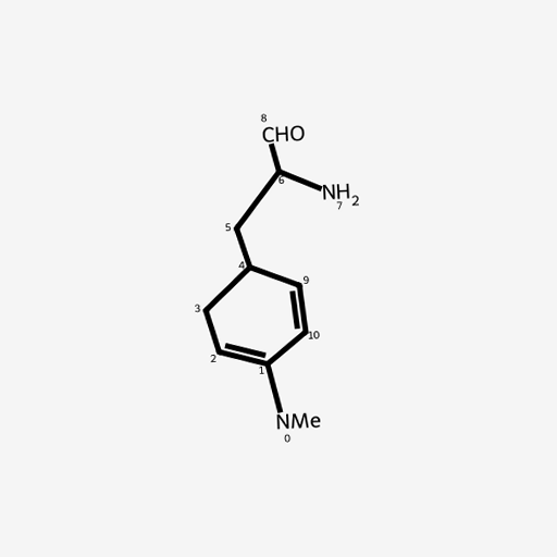 CNC1=CCC(CC(N)C=O)C=C1